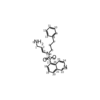 NCC=CN(CCCc1ccccc1)S(=O)(=O)c1cccc2cnccc12